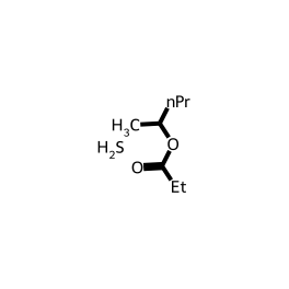 CCCC(C)OC(=O)CC.S